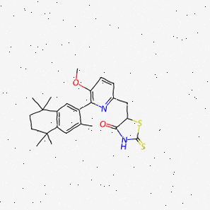 COc1ccc(CC2SC(=S)NC2=O)nc1-c1cc2c(cc1C)C(C)(C)CCC2(C)C